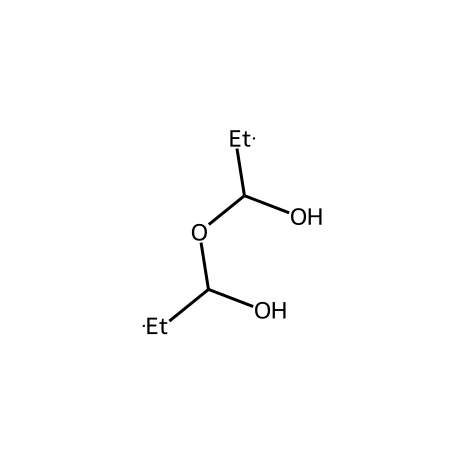 C[CH]C(O)OC(O)[CH]C